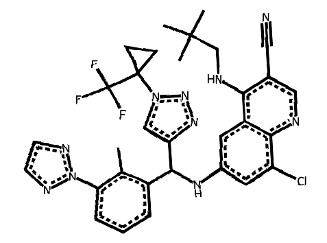 Cc1c(C(Nc2cc(Cl)c3ncc(C#N)c(NCC(C)(C)C)c3c2)c2cn(C3(C(F)(F)F)CC3)nn2)cccc1-n1nccn1